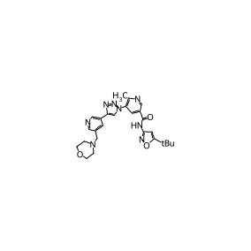 Cc1ncc(C(=O)Nc2cc(C(C)(C)C)on2)cc1-n1cc(-c2cncc(CN3CCOCC3)c2)nn1